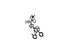 Cc1ccccc1N(CC(=O)N1CCC(NC(=O)OC(C)(C)C)C1)C(=O)c1ccccc1